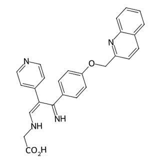 N=C(/C(=C\NCC(=O)O)c1ccncc1)c1ccc(OCc2ccc3ccccc3n2)cc1